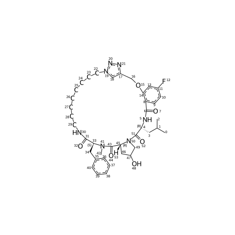 CC(C)C[C@H]1NC(=O)c2ccc(F)cc2OCc2cn(nn2)CCCCCCCCNC(=O)[C@H](Cc2ccccc2)N(C)C(=O)[C@H]2CC(O)CN2C1=O